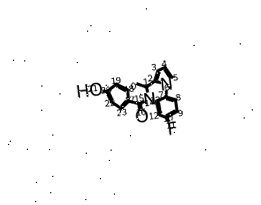 CC1c2cccn2-c2ccc(F)cc2N1C(=O)c1ccc(O)cc1